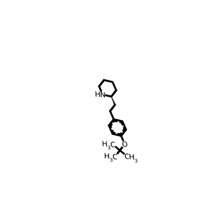 CC(C)(C)Oc1ccc(CC[C@@H]2CCCCN2)cc1